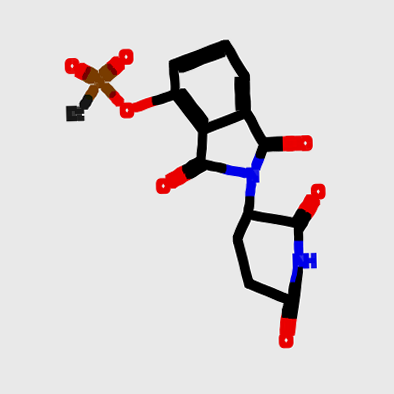 CCS(=O)(=O)Oc1cccc2c1C(=O)N(C1CCC(=O)NC1=O)C2=O